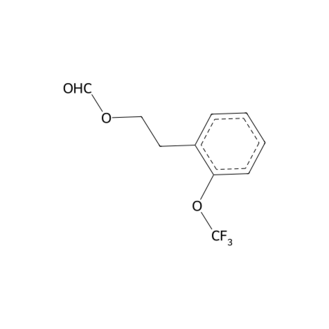 O=COCCc1ccccc1OC(F)(F)F